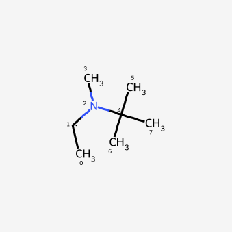 C[CH]N(C)C(C)(C)C